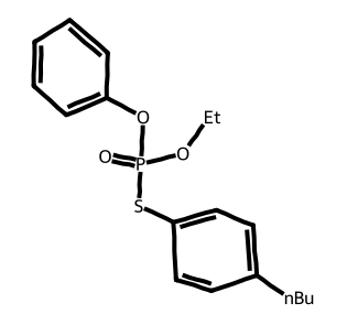 CCCCc1ccc(SP(=O)(OCC)Oc2ccccc2)cc1